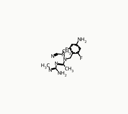 C/N=C(N)\N=C(/C)N(Cc1c(F)cc(N)cc1F)N(C)C#N